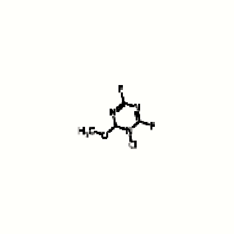 COC1N=C(F)N=C(F)N1Cl